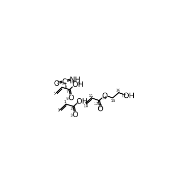 C=CC(=O)O.C=CC(=O)O.C=CC(=O)OCCO.N=C=O